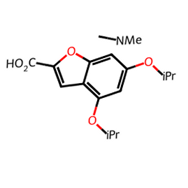 CC(C)Oc1cc(OC(C)C)c2cc(C(=O)O)oc2c1.CNC